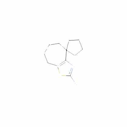 Nc1nc2c(s1)CCCCC21CCCC1